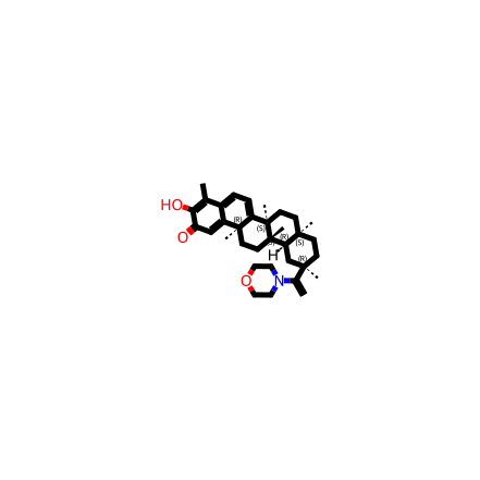 C=C(N1CCOCC1)[C@]1(C)CC[C@]2(C)CC[C@]3(C)C4=CC=C5C(=CC(=O)C(O)=C5C)[C@]4(C)CC[C@@]3(C)[C@@H]2C1